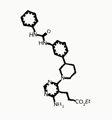 CCOC(=O)CCc1c(N)ncnc1N1CCCC(c2cccc(NC(=O)Nc3ccccc3)c2)C1